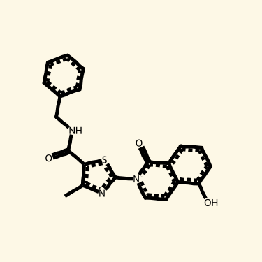 Cc1nc(-n2ccc3c(O)cccc3c2=O)sc1C(=O)NCc1ccccc1